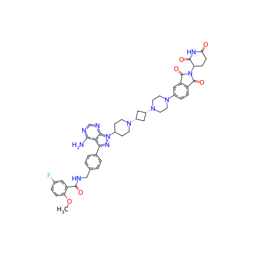 COc1ccc(F)cc1C(=O)NCc1ccc(-c2nn(C3CCN([C@H]4C[C@@H](N5CCN(c6ccc7c(c6)C(=O)N(C6CCC(=O)NC6=O)C7=O)CC5)C4)CC3)c3ncnc(N)c23)cc1